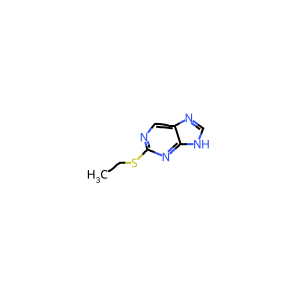 CCSc1ncc2nc[nH]c2n1